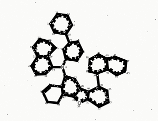 C1=Cc2c(N(c3cccc(-c4ccccc4)c3)c3cccc4ccccc34)cc3c(oc4cccc(-c5cccc6ccccc56)c43)c2CC1